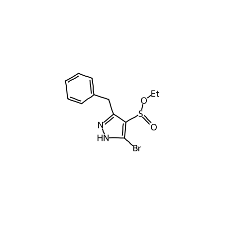 CCOS(=O)c1c(Cc2ccccc2)n[nH]c1Br